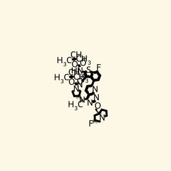 CN(c1nc(OC[C@@]23CCCN2C[C@H](F)C3)nc2nc(-c3ccc(F)c4sc(NC(=O)OC(C)(C)C)c(C#N)c34)ccc12)[C@@H]1CCN(C(=O)OC(C)(C)C)C1